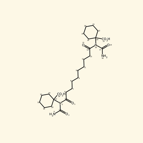 NC(=O)N(C(=O)CCCCCCCCC(=O)N(C(N)=O)C1(C(=O)O)CCCCC1)C1(C(=O)O)CCCCC1